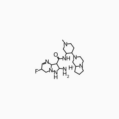 CN1CCC(N2CCN3CCC[C@H]3C2)C(NC(=O)C2C(N)NN3CC(F)C=NC23)C1